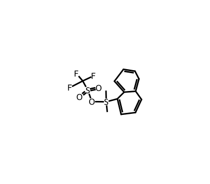 CS(C)(OS(=O)(=O)C(F)(F)F)c1cccc2ccccc12